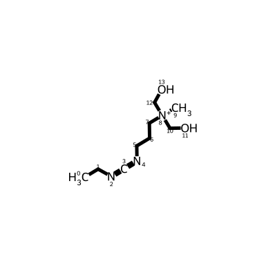 CCN=C=NCCC[N+](C)(CO)CO